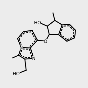 Cc1c(CO)nc2c(OC3c4ccccc4C(C)C3O)cccn12